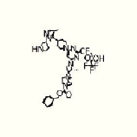 Cc1cnn(C2CCNC2)c1C1CCN(c2cc(N3CC(N4CCN(C(=O)OCc5ccccc5)CC4)[C@H]3C)nc(C(F)(F)F)n2)CC1.O=C(O)C(F)(F)F